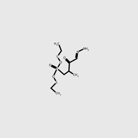 CCSOP(=O)(C[C](C)C(=O)C=NN)OSCC